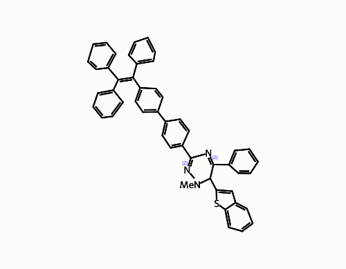 C/N=C(\N=C(\c1ccccc1)C(NC)c1cc2ccccc2s1)c1ccc(-c2ccc(C(=C(c3ccccc3)c3ccccc3)c3ccccc3)cc2)cc1